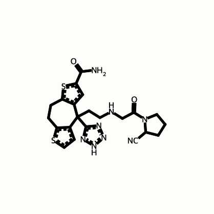 N#CC1CCCN1C(=O)CNCCC1(c2nn[nH]n2)c2ccsc2CCc2sc(C(N)=O)cc21